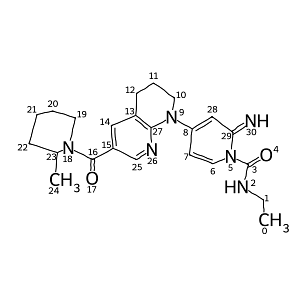 CCNC(=O)n1ccc(N2CCCc3cc(C(=O)N4CCCCC4C)cnc32)cc1=N